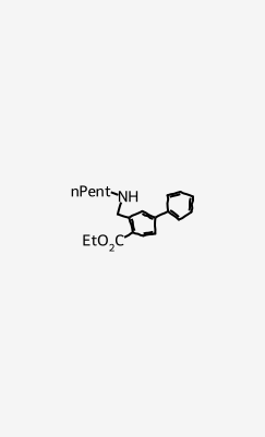 CCCCCNCc1cc(-c2ccccc2)ccc1C(=O)OCC